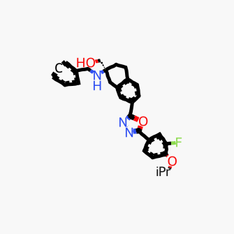 CC(C)Oc1ccc(-c2nnc(-c3ccc4c(c3)C[C@@](CO)(NCc3ccccc3)CC4)o2)cc1F